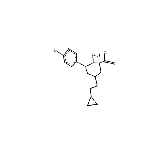 O=C(Cl)C1CC(OCC2CC2)CC(c2ccc(Br)cc2)C1C(=O)O